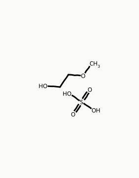 COCCO.O=S(=O)(O)O